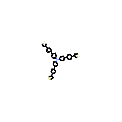 c1cc(-c2ccc(-c3ccc(N(c4ccc(-c5ccc(-c6ccsc6)cc5)cc4)c4ccc(-c5ccc(-c6ccsc6)cc5)cc4)cc3)cc2)cs1